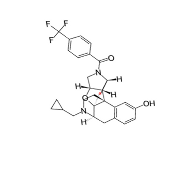 O=C(c1ccc(C(F)(F)F)cc1)N1C[C@H]2O[C@@]34CC[C@@H]1[C@@H]2[C@@]31CCN(CC2CC2)[C@@H]4Cc2ccc(O)cc21